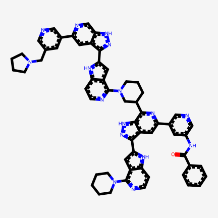 O=C(Nc1cncc(-c2cc3c(-c4cc5c(N6CCCCC6)nccc5[nH]4)n[nH]c3c(C3CCCN(c4nccc5[nH]c(-c6n[nH]c7cnc(-c8cncc(CN9CCCC9)c8)cc67)cc45)C3)n2)c1)c1ccccc1